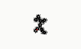 c1ccc2cc(N(c3ccc(-c4cc(-n5c6ccccc6c6ccccc65)cc5c4sc4ccccc45)cc3)c3ccc4c(c3)sc3ccccc34)ccc2c1